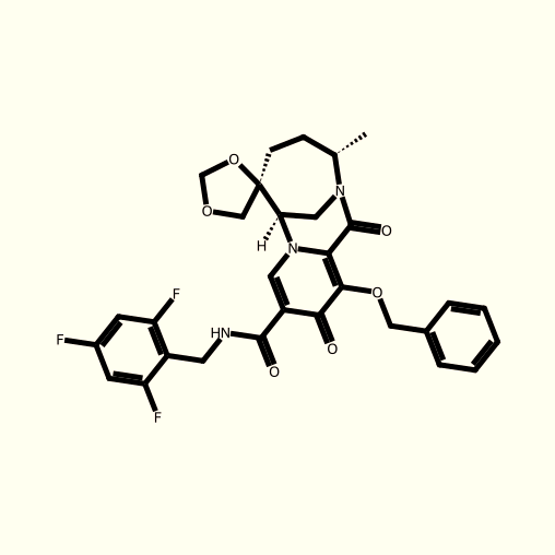 C[C@H]1CC[C@@]2(COCO2)[C@H]2CN1C(=O)c1c(OCc3ccccc3)c(=O)c(C(=O)NCc3c(F)cc(F)cc3F)cn12